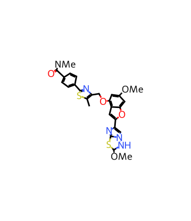 CNC(=O)c1ccc(-c2nc(COc3cc(OC)cc4oc(-c5cn6c(n5)SC(OC)N6)cc34)c(C)s2)cc1